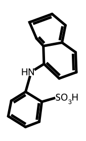 O=S(=O)(O)c1ccccc1Nc1cccc2ccccc12